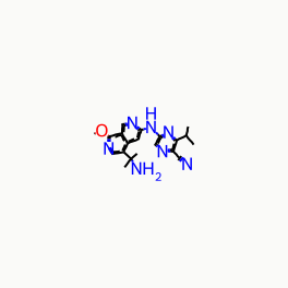 COc1ncc(C(C)(C)N)c2cc(Nc3cnc(C#N)c(C(C)C)n3)ncc12